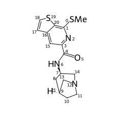 CSc1nc(C(=O)N[C@@H]2C[C@@H]3CCN(C3)C2)cc2ccsc12